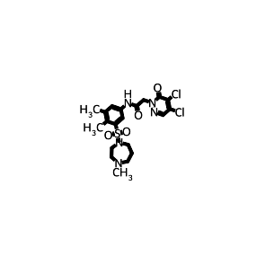 Cc1cc(NC(=O)Cn2ncc(Cl)c(Cl)c2=O)cc(S(=O)(=O)N2CCCN(C)CC2)c1C